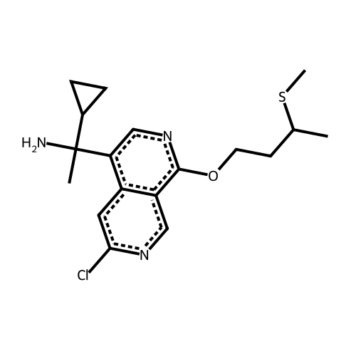 CSC(C)CCOc1ncc(C(C)(N)C2CC2)c2cc(Cl)ncc12